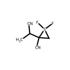 CC(C#N)C1(C#N)CS1(F)F